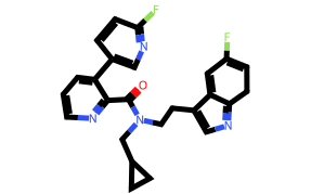 O=C(c1ncccc1-c1ccc(F)nc1)N(CCC1=CN=C2CC=C(F)C=C12)CC1CC1